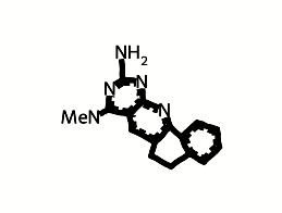 CNc1nc(N)nc2nc3c(cc12)CCc1ccccc1-3